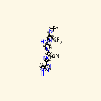 CC1(C)CN(Cc2cc(NC3CCN([C@H]4C[C@@](CC#N)(n5cc(-c6ncnc7[nH]ccc67)cn5)C4)CC3)nc(C(F)(F)F)c2)C1